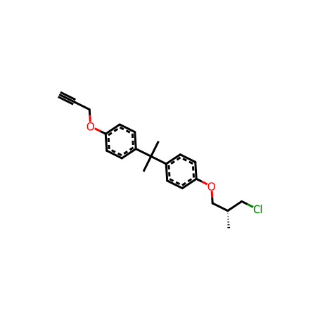 C#CCOc1ccc(C(C)(C)c2ccc(OC[C@@H](C)CCl)cc2)cc1